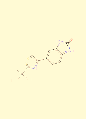 CC(C)(C)c1nc(-c2ccc3[nH]c(=O)[nH]c3c2)cs1